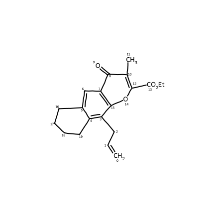 C=CCc1c2c(cc3c(=O)c(C)c(C(=O)OCC)oc13)CCCC2